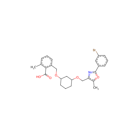 Cc1cccc(COC2CCCC(OCc3nc(-c4cccc(Br)c4)oc3C)C2)c1C(=O)O